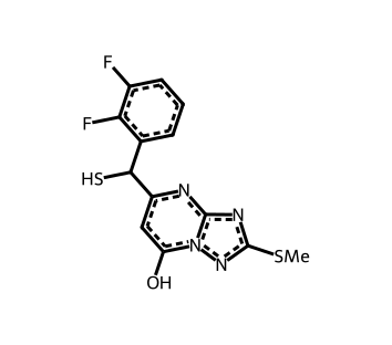 CSc1nc2nc(C(S)c3cccc(F)c3F)cc(O)n2n1